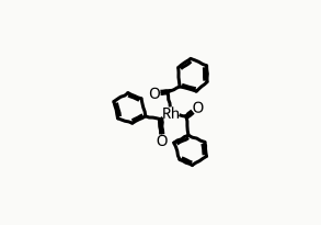 O=[C](c1ccccc1)[Rh]([C](=O)c1ccccc1)[C](=O)c1ccccc1